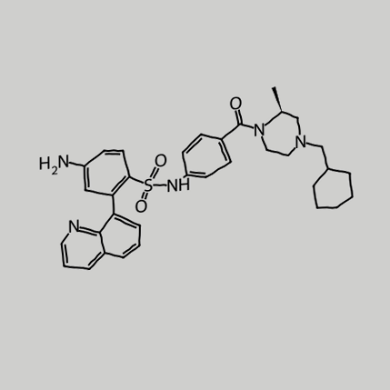 C[C@H]1CN(CC2CCCCC2)CCN1C(=O)c1ccc(NS(=O)(=O)c2ccc(N)cc2-c2cccc3cccnc23)cc1